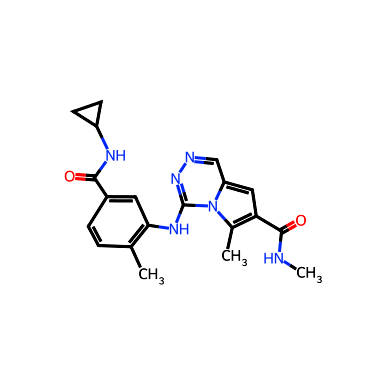 CNC(=O)c1cc2cnnc(Nc3cc(C(=O)NC4CC4)ccc3C)n2c1C